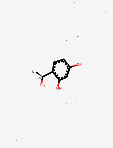 CC[C@H](O)c1ccc(O)cc1O